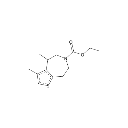 CCOC(=O)N1CCc2scc(C)c2C(C)C1